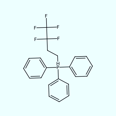 FC(F)(F)C(F)(F)CC[PH](c1ccccc1)(c1ccccc1)c1ccccc1